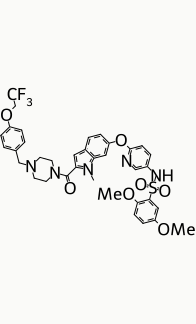 COc1ccc(OC)c(S(=O)(=O)Nc2ccc(Oc3ccc4cc(C(=O)N5CCN(Cc6ccc(OCC(F)(F)F)cc6)CC5)n(C)c4c3)nc2)c1